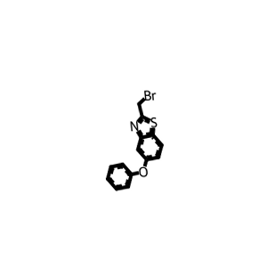 BrCc1nc2cc(Oc3ccccc3)ccc2s1